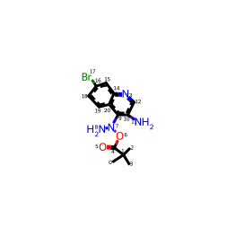 CC(C)(C)C(=O)ON(N)c1c(N)cnc2cc(Br)ccc12